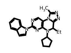 CCC1c2nnc(C)n2-c2cnc(-n3ccc4ccccc43)nc2N1C1CCCC1